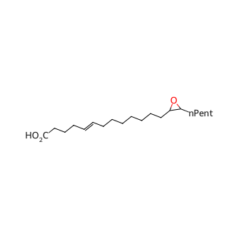 CCCCCC1OC1CCCCCCCC=CCCCC(=O)O